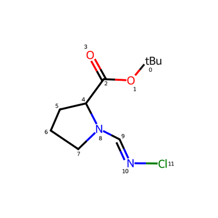 CC(C)(C)OC(=O)C1CCCN1/C=N/Cl